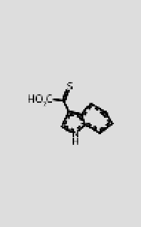 O=C(O)C(=S)c1c[nH]c2ccccc12